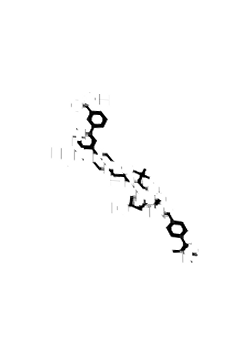 Cc1ncsc1-c1ccc([C@H](C)NC(=O)[C@@H]2C[C@@H](O)CN2C(=O)[C@@H](NC(=O)CN2CCN(c3cc(-c4cccc(C(=O)O)c4)nnc3N)CC2)C(C)(C)C)cc1